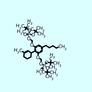 CCCCCc1cc(OCOP(=O)(OC(C)(C)C)OC(C)(C)C)c(C2C=C(C)CCC2)c(OCOP(=O)(OC(C)(C)C)OC(C)(C)C)c1